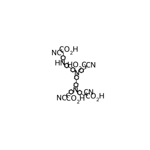 N#C/C(=C/c1ccc(N(c2ccc(/C=C(\C#N)C(=O)O)cc2)c2ccc(-c3ccc(N(c4ccc(/C=C(/C#N)C(=O)O)cc4)c4ccc(-c5ccc(Nc6ccc(/C=C(\C#N)C(=O)O)cc6)cc5)cc4)cc3)cc2)cc1)C(=O)O